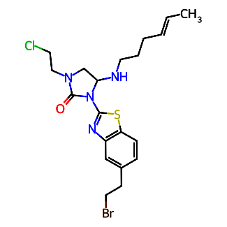 CC=CCCCNC1CN(CCCl)C(=O)N1c1nc2cc(CCBr)ccc2s1